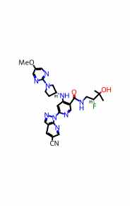 COc1cnc(N2CC[C@@H](Nc3cc(-n4ncc5cc(C#N)cnc54)ncc3C(=O)NC[C@@H](F)C(C)(C)O)C2)nc1